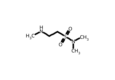 CNCCS(=O)(=O)N(C)C